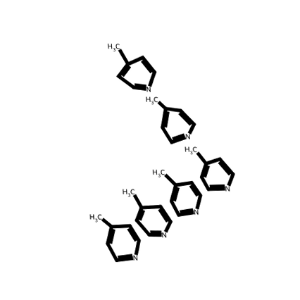 Cc1ccncc1.Cc1ccncc1.Cc1ccncc1.Cc1ccncc1.Cc1ccncc1.Cc1ccncc1